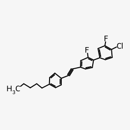 CCCCCc1ccc(C#Cc2ccc(-c3ccc(Cl)c(F)c3)c(F)c2)cc1